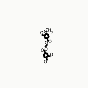 COc1ccc(C(=O)OCCOC(=O)c2ccc(C=O)c(C=O)c2)cc1C=O